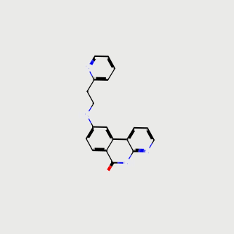 O=c1[nH]c2ncccc2c2cc(NCCc3ccccn3)ccc12